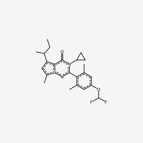 CCC(C)c1cc(C)n2nc(-c3c(C)cc(OC(F)F)cc3C)n(C3CC3)c(=O)c12